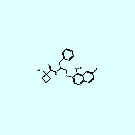 CNC1(C(=O)NC(COc2cnc3ccc(F)cc3c2C(=O)O)Cc2ccccc2)CCC1